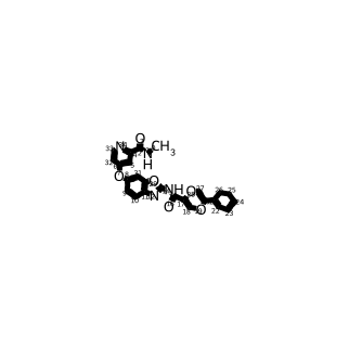 CNC(=O)c1cc(Oc2ccc3nc(NC(=O)C4=COC(C5=CC=CCC5)=CO4)oc3c2)ccn1